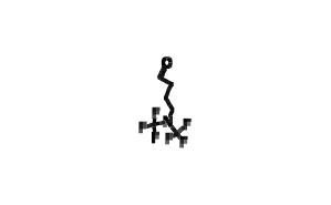 O=CCCCN(C(F)(F)F)C(F)(F)F